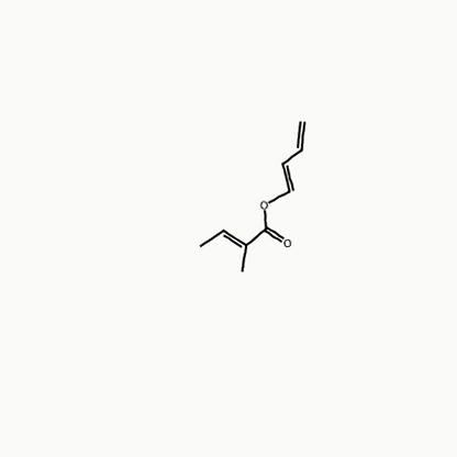 C=CC=COC(=O)C(C)=CC